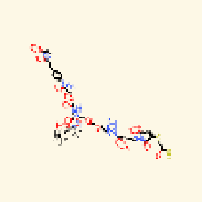 CC(=O)[C@@H](NC(=O)C(CNC(=O)COCC(=O)Nc1ccc(CCC(=O)N2CCC2=O)cc1)NC(=O)CCOCCOCCNC(=O)CCN1C(=O)CC(SCCC(=O)C2SS2)C1=O)[C@@H](C)O